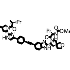 C=C1C[C@@H](c2nc(-c3ccc(C#Cc4ccc5[nH]c([C@@H]6C[C@@]7(CCOC7)CN6C(=O)[C@@H](NC(=O)OC)C(C)C)nc5c4)cc3)c[nH]2)N(C(=O)[C@@H](C)C(C)C)C1